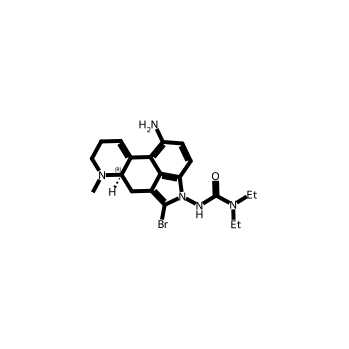 CCN(CC)C(=O)Nn1c(Br)c2c3c(c(N)ccc31)C1=CCCN(C)[C@@H]1C2